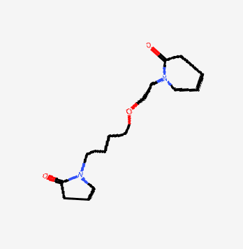 O=C1CCCN1CCCCOCCN1CCCCC1=O